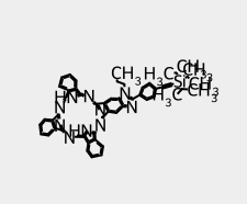 CCCn1c(-c2ccc(C#C[Si](C(C)C)(C(C)C)C(C)C)cc2)nc2cc3c(cc21)-c1nc-3nc2[nH]c(nc3nc(nc4[nH]c(n1)c1ccccc41)-c1ccccc1-3)c1ccccc21